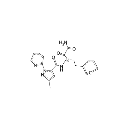 Cc1cc(C(=O)N[C@@H](CCc2ccccc2)C(=O)C(N)=O)n(-c2ccccn2)n1